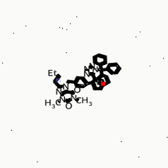 CC/C=C/c1nc2c(c(=O)n(C)c(=O)n2C)n1Cc1ccc(-c2ccccc2-c2nnnn2C(c2ccccc2)(c2ccccc2)c2ccccc2)cc1